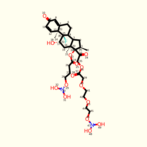 C[C@@H]1CC2C3CCC4=CC(=O)C=C[C@]4(C)[C@@]3(F)[C@@H](O)C[C@]2(C)[C@@]1(OC(=O)CCCON(O)O)C(=O)COC(=O)COCCOCCON(O)O